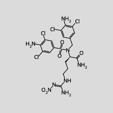 NC(=O)[C@@H](CCCNC(N)=N[N+](=O)[O-])N(Cc1cc(Cl)c(N)c(Cl)c1)S(=O)(=O)c1cc(Cl)c(N)c(Cl)c1